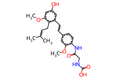 COc1cc(C=Cc2cc(O)cc(OC)c2CC=C(C)C)ccc1NC(=O)CNC(=O)O